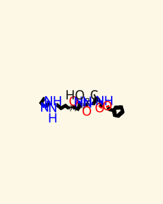 O=C(N[C@@H](CNC(=O)[C@@H]1C[C@@H](CCCCNC2=NCCN2)ON1)C(=O)O)OCc1ccccc1